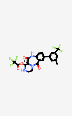 Cc1cc(-c2ccc3c(c2)C(=O)N2CCNC(OC(=O)C(F)(F)F)[C@H]2C(=O)N3)cc(C(F)(F)F)c1